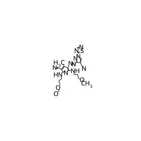 COCCCNc1nc(NCCCOC=O)c(C#N)c(C)c1N=Nc1nn(-c2ncns2)cc1C#N